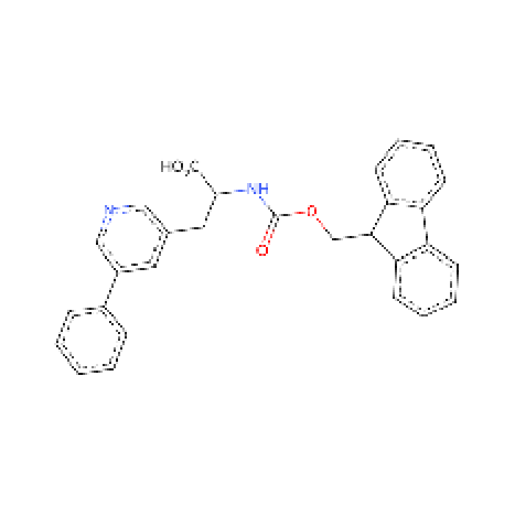 O=C(NC(Cc1cncc(-c2ccccc2)c1)C(=O)O)OCC1c2ccccc2-c2ccccc21